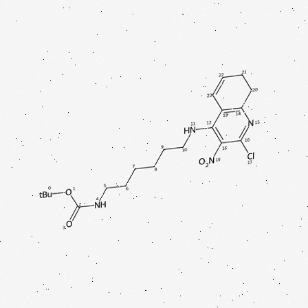 CC(C)(C)OC(=O)NCCCCCCNc1c2c(nc(Cl)c1[N+](=O)[O-])CCC=C2